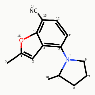 Cc1cc2c(N3CCCC3C)ccc(C#N)c2o1